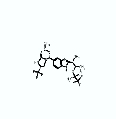 COC[C@H](c1ccc2[nH]c([C@@H](N)[C@@H](C)OC(C)(C)C(F)(F)F)nc2c1)N1C[C@@H](C(F)(F)F)NC1=O